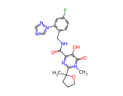 Cn1c(C2(C)CCCO2)nc(C(=O)NCc2ccc(F)cc2-n2cncn2)c(O)c1=O